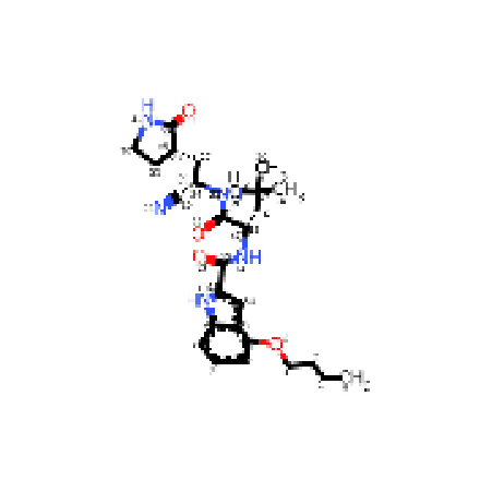 CCCCOc1cccc2[nH]c(C(=O)N[C@@H](CC(C)(C)C)C(=O)N[C@H](C#N)C[C@@H]3CCNC3=O)cc12